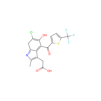 CC1=C(CC(=O)O)C2=C(C(=O)c3ccc(C(F)(F)F)s3)C(O)=C(Cl)CC2=N1